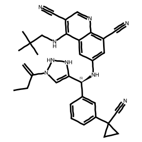 C=C(CC)N1C=C([C@@H](Nc2cc(C#N)c3ncc(C#N)c(NCC(C)(C)C)c3c2)c2cccc(C3(C#N)CC3)c2)NN1